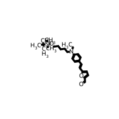 CCN(CCCCCO[Si](C)(C)C(C)(C)C)c1ccc(/C=C/c2ccc(C=O)o2)cc1